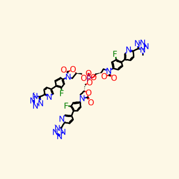 Cn1nnnc1-c1ccc(-c2ccc(N3C[C@H](COP(=O)(OC[C@H]4CN(c5ccc(-c6ccc(-c7nnnn7C)nc6)c(F)c5)C(=O)O4)OC[C@H]4CN(c5ccc(-c6ccc(-c7nnnn7C)nc6)c(F)c5)C(=O)O4)OC3=O)cc2F)cn1